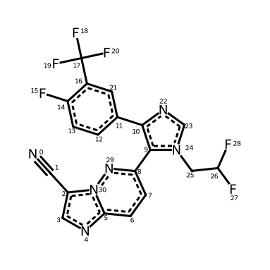 N#Cc1cnc2ccc(-c3c(-c4ccc(F)c(C(F)(F)F)c4)ncn3CC(F)F)nn12